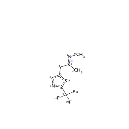 C/N=S(\C)Cc1cnc(C(F)(F)F)s1